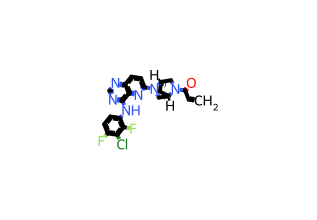 C=CC(=O)N1C[C@@H]2C[C@H]1CN2c1ccc2ncnc(Nc3ccc(F)c(Cl)c3F)c2n1